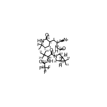 CC1(C)CCC(C[C@@H](C#N)NC(=O)[C@@H]2[C@@H]3[C@H](CN2C(=O)[C@@H](NC(=O)C(F)(F)F)C(C)(C)C)C3(C)C)C(=O)N1